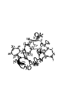 CCOc1nc2cccc(C(=O)OCC(OC(C)=O)=C(C)C)c2n1Cc1ccc(-c2ccccc2C(NC=O)NOC)cc1